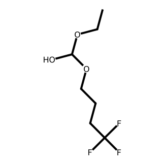 CCOC(O)OCCCC(F)(F)F